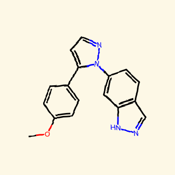 COc1ccc(-c2ccnn2-c2ccc3cn[nH]c3c2)cc1